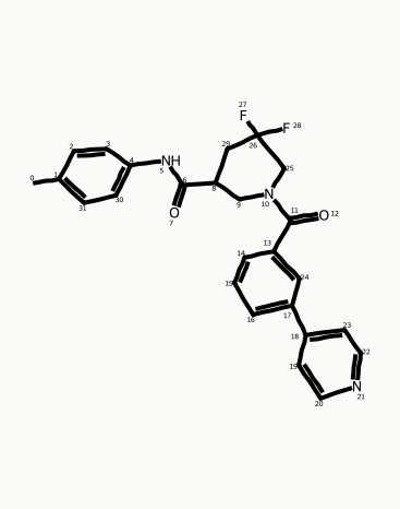 Cc1ccc(NC(=O)C2CN(C(=O)c3cccc(-c4ccncc4)c3)CC(F)(F)C2)cc1